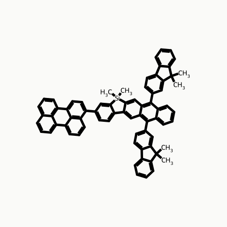 CC1(C)c2ccccc2-c2ccc(-c3c4ccccc4c(-c4ccc5c(c4)C(C)(C)c4ccccc4-5)c4cc5c(cc34)-c3ccc(-c4ccc6c7cccc8cccc(c9cccc4c96)c87)cc3[Si]5(C)C)cc21